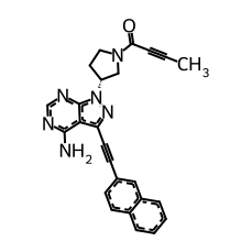 CC#CC(=O)N1CC[C@@H](n2nc(C#Cc3ccc4ccccc4c3)c3c(N)ncnc32)C1